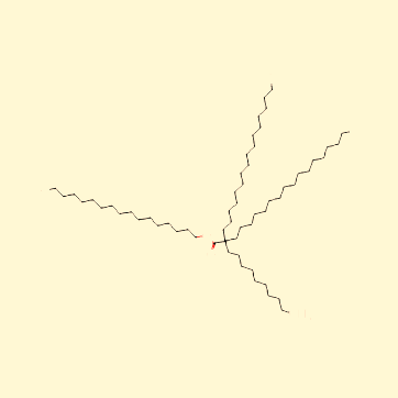 CCCCCCCCCCCCCCCCCOC(=O)C(CCCCCCCCCC)(CCCCCCCCCCCCCCCCC)CCCCCCCCCCCCCCCCC